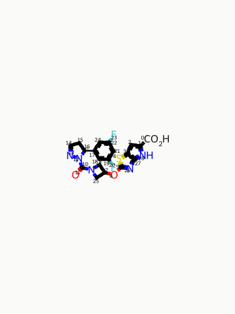 O=C(O)c1cc2sc(OC3CN(C(=O)N4N=CC[C@H]4c4cc(F)cc(F)c4)C3)nc2[nH]1